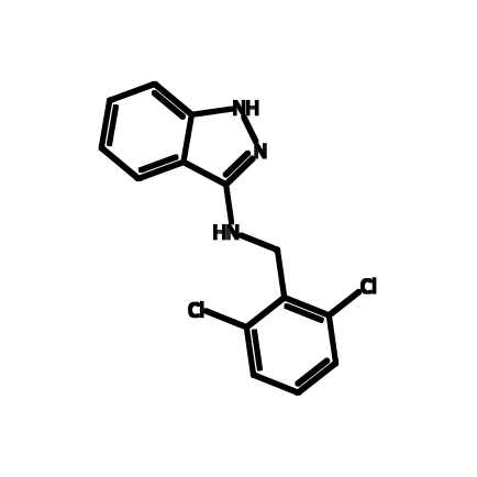 Clc1cccc(Cl)c1CNc1n[nH]c2ccccc12